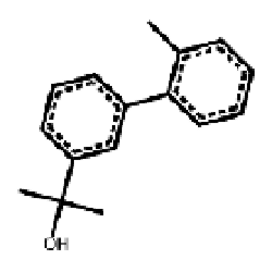 Cc1ccccc1-c1cccc(C(C)(C)O)c1